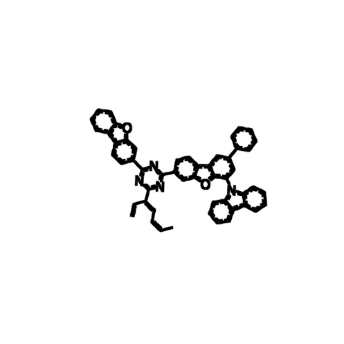 C=C/C(=C\C=C/C)c1nc(-c2ccc3c(c2)oc2ccccc23)nc(-c2ccc3c(c2)oc2c(-n4c5ccccc5c5ccccc54)cc(-c4ccccc4)cc23)n1